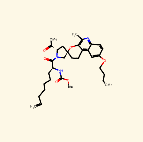 C=CCCCCC[C@H](NC(=O)OC(C)(C)C)C(=O)N1C[C@@]2(CCc3c(c(C(F)(F)F)nc4ccc(OCCCOC)cc34)O2)C[C@H]1C(=O)OC